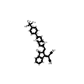 N#CC(C#N)=C1/C(=C/c2cc3sc(-c4ccc(C(F)(F)F)cc4)cc3s2)C(=O)c2ccccc21